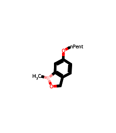 CCCCCOc1ccc2c(c1)B(C)OC2